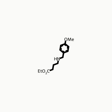 CCOC(=O)CCCNCc1ccc(OC)cc1